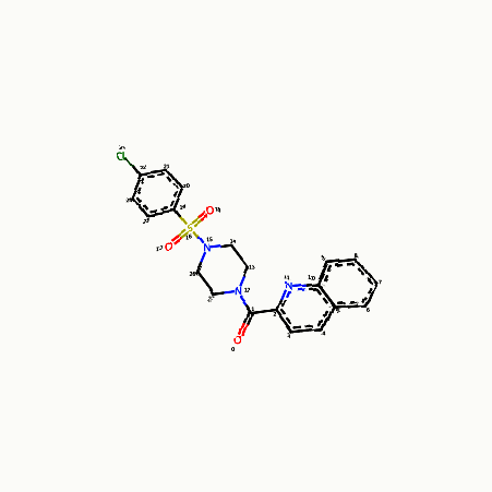 O=C(c1ccc2ccccc2n1)N1CCN(S(=O)(=O)c2ccc(Cl)cc2)CC1